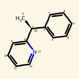 C[C@@H](c1ccccc1)c1ccccn1